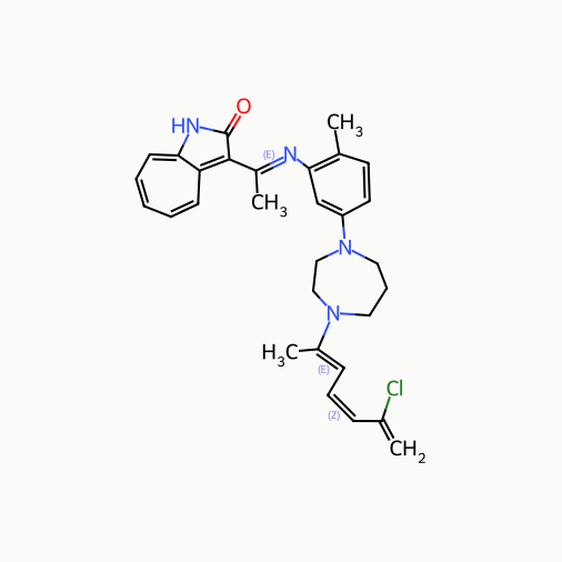 C=C(Cl)/C=C\C=C(/C)N1CCCN(c2ccc(C)c(/N=C(\C)c3c4cccccc-4[nH]c3=O)c2)CC1